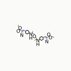 CCOC(=O)/C(C#N)=C/c1ccc(NC(C)COCC(C)Nc2ccc(/C=C(\C#N)C(=O)OCC)cc2)cc1